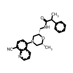 CC(C(=O)NC[C@H]1CN(c2ccc(C#N)c3ncccc23)C[C@@H](C)O1)c1ccccc1